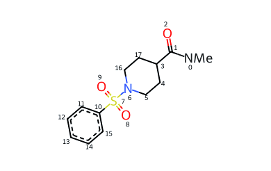 CNC(=O)C1CCN(S(=O)(=O)c2ccccc2)CC1